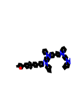 CCC(CC)(c1ccc(-c2ccc(C)cc2)cc1)c1ccc(-c2ccc(N(c3ccc(N(c4ccccc4)c4ccc(-c5ccc(N(c6ccccc6)c6ccc(N(C)c7ccc8c(c7)CC8)cc6)cc5)cc4)cc3)c3ccc4c(c3)CC4)cc2)cc1